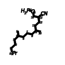 CC(C)CCCC(C)CCCC(C)CCC(C#N)COP